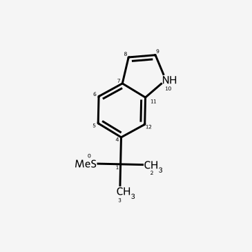 CSC(C)(C)c1ccc2cc[nH]c2c1